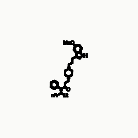 CCCC(CC)N(C(=O)CCN1CCN(CCCc2c[nH]c3ccc(OC)cc23)CC1)c1ccccc1